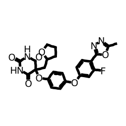 Cc1nnc(-c2ccc(Oc3ccc(OC4(CC5CCCO5)C(=O)NC(=O)NC4=O)cc3)cc2F)o1